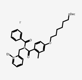 CCCCCCCCCCCCCCCCOc1ccc(C(=O)N(Cc2cccc[n+]2CC)C(=O)c2ccccc2)c(C)c1.[I-]